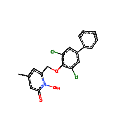 Cc1cc(COc2c(Cl)cc(-c3ccccc3)cc2Cl)n(O)c(=O)c1